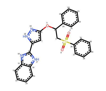 O=S(=O)(CC(Oc1cc(-c2nc3ccccc3[nH]2)[nH]n1)c1ccccc1)c1ccccc1